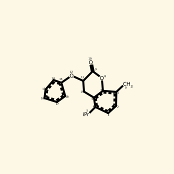 Cc1ccc(C(C)C)c2c1OC(=O)C(Oc1ccccc1)C2